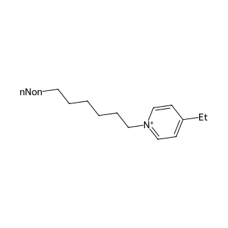 CCCCCCCCCCCCCCC[n+]1ccc(CC)cc1